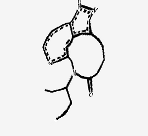 CCC(C)N1C(=O)CCc2n[nH]c3ccnc1c23